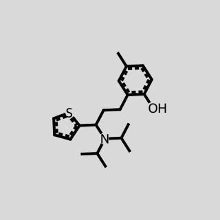 Cc1ccc(O)c(CCC(c2cccs2)N(C(C)C)C(C)C)c1